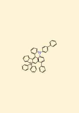 c1ccc(-c2ccc(N(c3ccc(-c4ccccc4)cc3)c3ccccc3-c3cccc4c3-c3ccccc3[Si]4(c3ccccc3)c3ccccc3)cc2)cc1